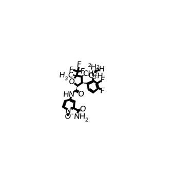 [2H]C([2H])([2H])Oc1c([C@H]2[C@H](C(=O)Nc3cc[n+]([O-])c(C(N)=O)c3)O[C@](C)(C(F)(F)F)[C@H]2C)ccc(F)c1F